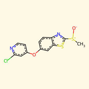 C[S+]([O-])c1nc2ccc(Oc3ccnc(Cl)c3)cc2s1